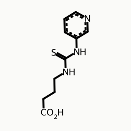 O=C(O)CCCNC(=S)Nc1cccnc1